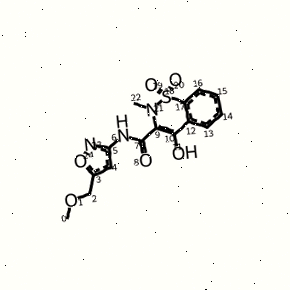 COCc1cc(NC(=O)C2=C(O)c3ccccc3S(=O)(=O)N2C)no1